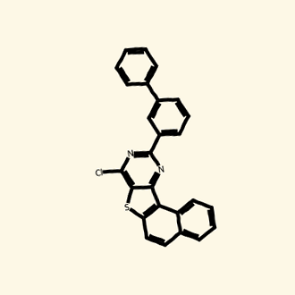 Clc1nc(-c2cccc(-c3ccccc3)c2)nc2c1sc1ccc3ccccc3c12